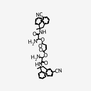 CC(Cc1cccc(C#N)c1)(NC(=O)C(N)OC(=O)/C=C\C(=O)OC(N)C(=O)NC(C)(Cc1cccc(C#N)c1)c1ccccc1)c1ccccc1